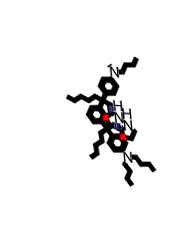 CCCCCC(/C=C1\CCCN1)(c1ccc(N(C)CCCC)cc1)c1cccc(C(/C=C2\CCCN2)(CCCCC)c2ccc(N(CCCC)CCCC)cc2)c1